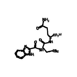 CC(C)(C)CC(NC(=O)c1nc2ccccc2[nH]1)C(=O)NN(CCC(N)=O)C(=O)O